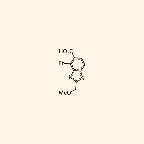 CCc1c(C(=O)O)ccc2sc(COC)nc12